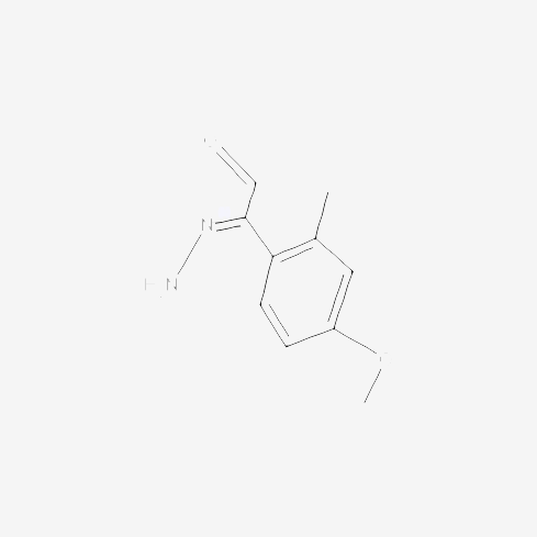 COc1ccc(/C(C=O)=N\N)c(C)c1